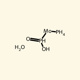 O.O=[PH](O)[Mo][PH4]